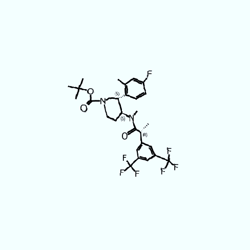 Cc1cc(F)ccc1[C@H]1CN(C(=O)OC(C)(C)C)CC[C@@H]1N(C)C(=O)[C@H](C)c1cc(C(F)(F)F)cc(C(F)(F)F)c1